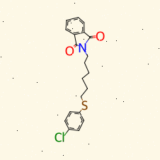 O=C1c2ccccc2C(=O)N1CCCCCCSc1ccc(Cl)cc1